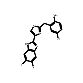 CC(C)COc1ccc(Cl)cc1Cc1nc(-c2nc3cc(F)c(F)cc3[nH]2)cs1